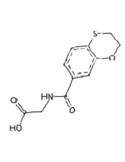 O=C(O)CNC(=O)c1ccc2c(c1)OCCS2